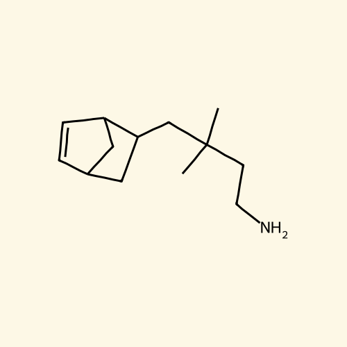 CC(C)(CCN)CC1CC2C=CC1C2